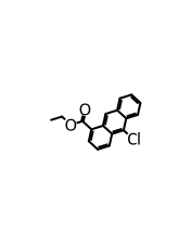 CCOC(=O)c1cccc2c(Cl)c3ccccc3cc12